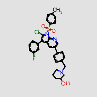 Cc1ccc(S(=O)(=O)n2c(Cl)c(-c3cccc(F)c3)c3cc(-c4ccc(CN5CCCC(O)C5)cc4)cnc32)cc1